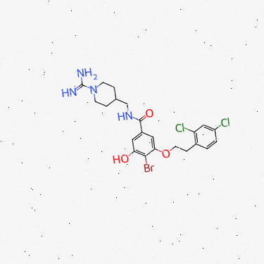 N=C(N)N1CCC(CNC(=O)c2cc(O)c(Br)c(OCCc3ccc(Cl)cc3Cl)c2)CC1